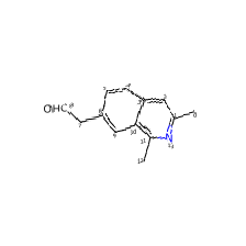 Cc1cc2ccc(CC=O)cc2c(C)n1